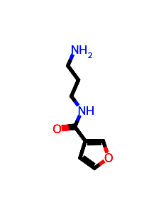 NCCCNC(=O)c1ccoc1